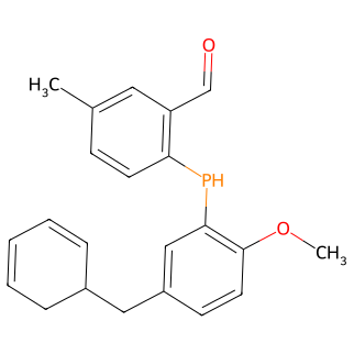 COc1ccc(CC2C=CC=CC2)cc1Pc1ccc(C)cc1C=O